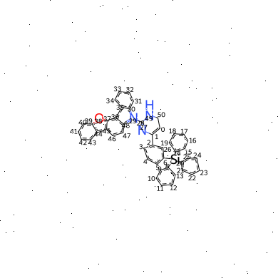 C1=C(c2cccc([Si](c3ccccc3)(c3ccccc3)c3ccccc3)c2)N=C(n2c3ccccc3c3c4oc5ccccc5c4ccc32)NC1